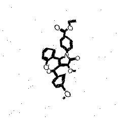 CCOC(=O)c1ccc(N2C(=O)C(OC)=C(C(=O)c3ccc(OC)cc3)C2c2ccccc2Cl)cc1